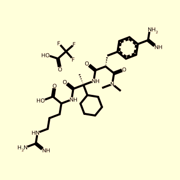 CN(C)C(=O)[C@@H](Cc1ccc(C(=N)N)cc1)C(=O)N[C@](C)(C(=O)NC(CCCNC(=N)N)C(=O)O)C1CCCCC1.O=C(O)C(F)(F)F